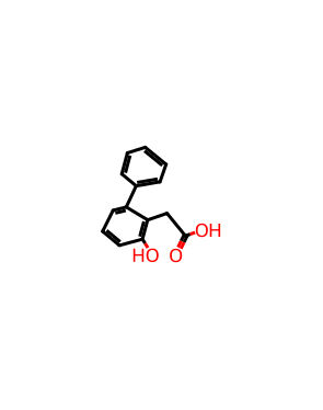 O=C(O)Cc1c(O)cccc1-c1ccccc1